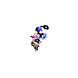 CC(=O)O[C@H]1[C@@H]2O[Si](C(C)C)(C(C)C)O[Si](C(C)C)(C(C)C)OC[C@H]2C[C@H]1Nc1ncncc1C(=O)c1ccn(Cc2ccccc2)n1